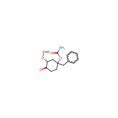 NC(=O)OC1(Cc2ccccc2)CCC(=O)C(OC=O)C1